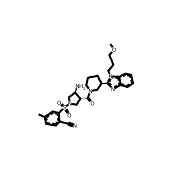 COCCCn1c([C@@H]2CCCN(C(=O)[C@@H]3CN(S(=O)(=O)c4cc(C)ccc4C#N)C[C@H]3N)C2)nc2ccccc21